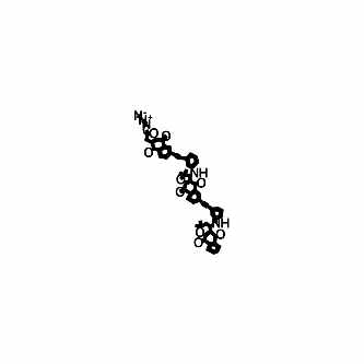 CC1(C)CC(Nc2cccc(C#Cc3ccc4c(c3)C(=O)C3=C(OC(C)(C)C3Nc3cccc(C#Cc5ccc6c(c5)C(=O)C5=C(CC(CN=[N+]=[N-])O5)C6=O)c3)C4=O)c2)C2=C(O1)C(=O)c1ccccc1C2=O